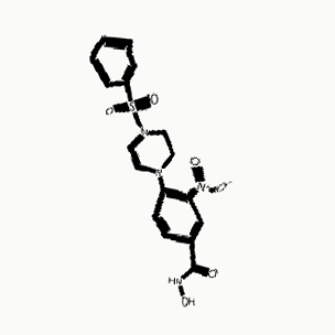 O=C(NO)c1ccc(N2CCN(S(=O)(=O)c3ccccc3)CC2)c([N+](=O)[O-])c1